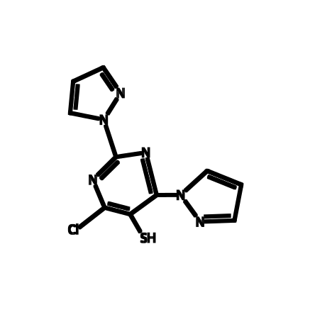 Sc1c(Cl)nc(-n2cccn2)nc1-n1cccn1